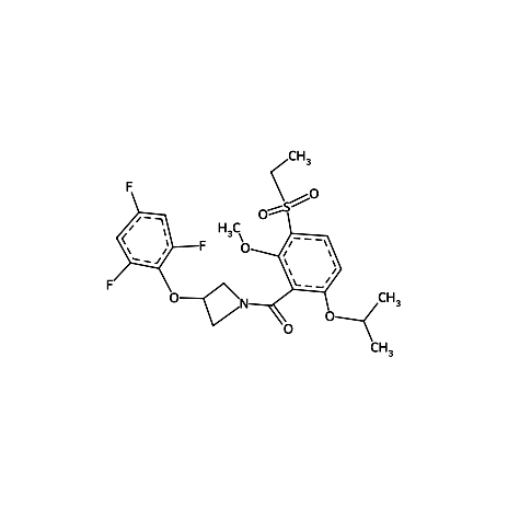 CCS(=O)(=O)c1ccc(OC(C)C)c(C(=O)N2CC(Oc3c(F)cc(F)cc3F)C2)c1OC